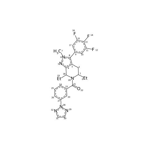 CCC1Cc2c(nn(C)c2-c2cc(F)c(F)c(F)c2)C(CC)N1C(=O)c1cccc(-n2nccn2)c1